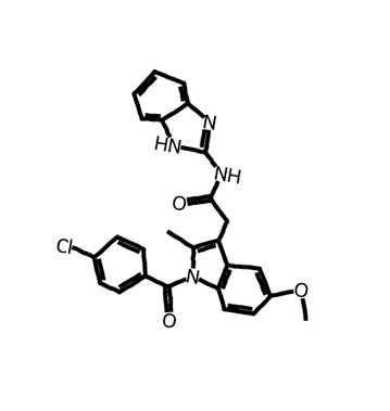 COc1ccc2c(c1)c(CC(=O)Nc1nc3ccccc3[nH]1)c(C)n2C(=O)c1ccc(Cl)cc1